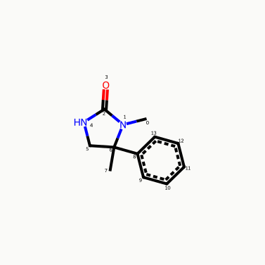 CN1C(=O)NCC1(C)c1ccccc1